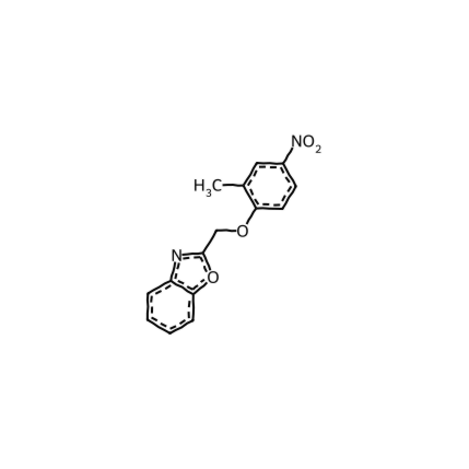 Cc1cc([N+](=O)[O-])ccc1OCc1nc2ccccc2o1